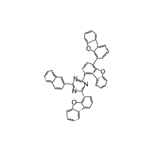 c1ccc2cc(-c3nc(-c4cccc5c4oc4ccccc45)nc(-c4ccc(-c5cccc6c5oc5ccccc56)c5oc6ccccc6c45)n3)ccc2c1